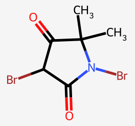 CC1(C)C(=O)C(Br)C(=O)N1Br